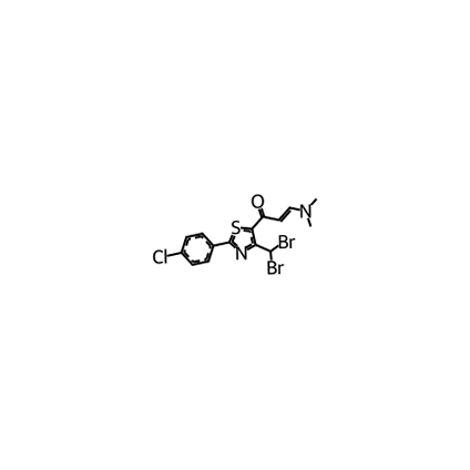 CN(C)C=CC(=O)c1sc(-c2ccc(Cl)cc2)nc1C(Br)Br